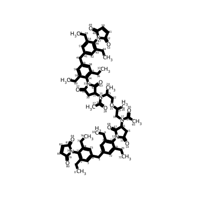 CCc1cc(Cc2cc(CC)c(N3C(=O)CC(N(CC(C)OCC(C)N(C(C)=O)C4CC(=O)N(c5c(CC)cc(Cc6cc(CC)c(N7C(=O)C=CC7=O)c(CC)c6)cc5CC)C4=O)C(C)=O)C3=O)c(CC)c2)cc(CC)c1N1C(=O)C=CC1=O